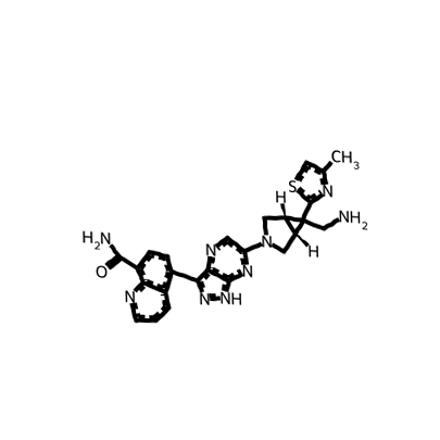 Cc1csc(C2(CN)[C@@H]3CN(c4cnc5c(-c6ccc(C(N)=O)c7ncccc67)n[nH]c5n4)C[C@@H]32)n1